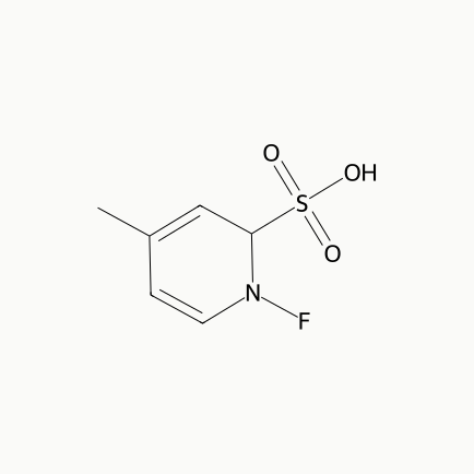 CC1=CC(S(=O)(=O)O)N(F)C=C1